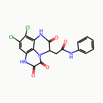 O=C(CC1C(=O)Nc2c(Cl)c(Cl)cc3[nH]c(=O)c(=O)n1c23)Nc1ccccc1